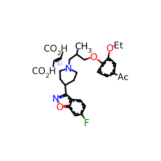 CCOc1cc(C(C)=O)ccc1OCC(C)CN1CCC(c2noc3cc(F)ccc23)CC1.O=C(O)/C=C/C(=O)O